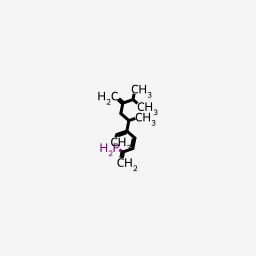 C=C(P)/C=C\C(=C/C)C(C)CC(=C)C(C)C